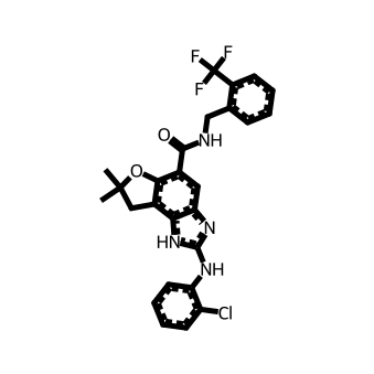 CC1(C)Cc2c(c(C(=O)NCc3ccccc3C(F)(F)F)cc3nc(Nc4ccccc4Cl)[nH]c23)O1